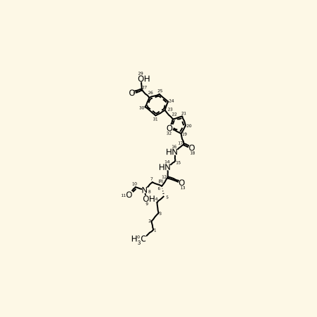 CCCCCC[C@H](CN(O)C=O)C(=O)NCNC(=O)c1ccc(-c2ccc(C(=O)O)cc2)o1